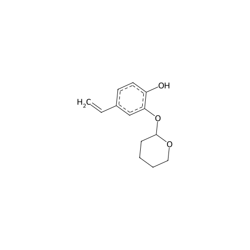 C=Cc1ccc(O)c(OC2CCCCO2)c1